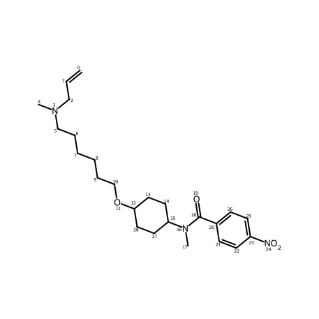 C=CCN(C)CCCCCCOC1CCC(N(C)C(=O)c2ccc([N+](=O)[O-])cc2)CC1